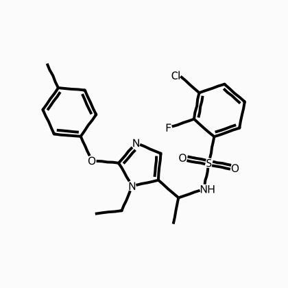 CCn1c(C(C)NS(=O)(=O)c2cccc(Cl)c2F)cnc1Oc1ccc(C)cc1